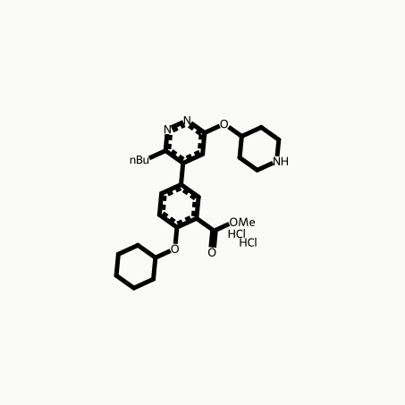 CCCCc1nnc(OC2CCNCC2)cc1-c1ccc(OC2CCCCC2)c(C(=O)OC)c1.Cl.Cl